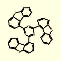 c1ccc2c(c1)sc1cccc(-c3nc(-c4cccc5sc6ccccc6c45)nc(-c4cccc5sc6ccccc6c45)n3)c12